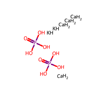 O=P(O)(O)O.O=P(O)(O)O.[CaH2].[CaH2].[CaH2].[CaH2].[KH].[KH]